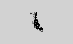 C[C@]12CC[C@H](OCCCN)C[C@H]1CC[C@H]1[C@H]3CC[C@H](c4ccoc4)[C@@]3(C)CC[C@@H]12